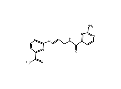 NC(=O)c1ccnc(NC=CCNC(=O)c2ccnc(N)n2)n1